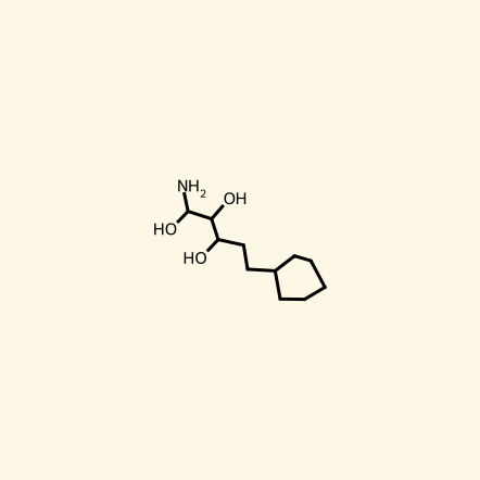 NC(O)C(O)C(O)CCC1CCCCC1